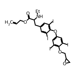 C=CCOC(=O)C(Cc1cc(I)c(Oc2cc(I)c(OCC3CO3)c(I)c2)c(I)c1)NCC